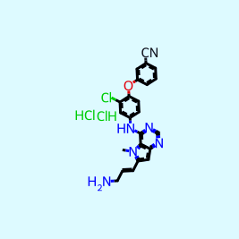 Cl.Cl.Cn1c(C=CCN)cc2ncnc(Nc3ccc(Oc4cccc(C#N)c4)c(Cl)c3)c21